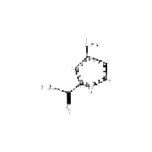 CSc1ccnc(C(N)=O)c1